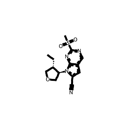 CC[C@H]1COC[C@@H]1n1c(C#N)cc2cnc(S(C)(=O)=O)nc21